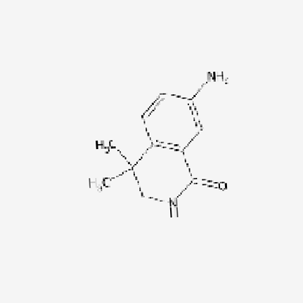 CC1(C)CNC(=O)c2cc(N)ccc21